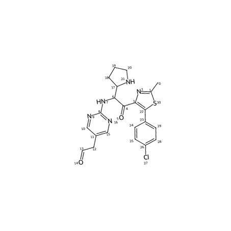 Cc1nc(C(=O)C(Nc2ncc(CC=O)cn2)C2CCCN2)c(-c2ccc(Cl)cc2)s1